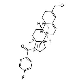 C[C@]12CC[C@H]3[C@@H](CC=C4C=C(C=O)CC[C@@]43C)[C@@H]1CC[C@@H]2C(=O)c1ccc(F)cc1